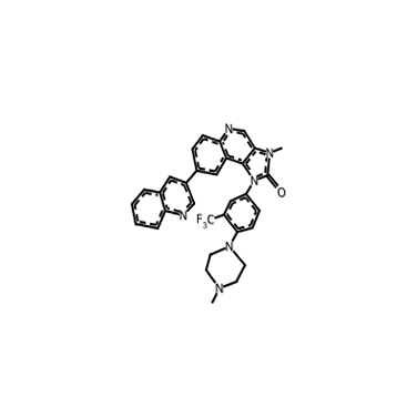 CN1CCN(c2ccc(-n3c(=O)n(C)c4cnc5ccc(-c6cnc7ccccc7c6)cc5c43)cc2C(F)(F)F)CC1